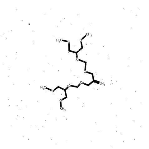 C=C(COCOC(COC)COC)COCOC(COC)COC